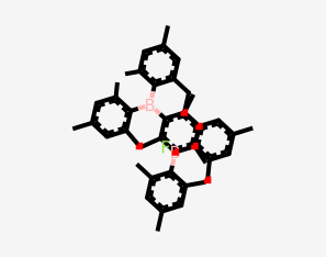 Cc1cc(C)c(B(F)c2c(C)cc(C)cc2CCc2cc(C)cc(C)c2B(c2c(C)cc(C)cc2C)c2c(C)cc(C)cc2C)c(C)c1